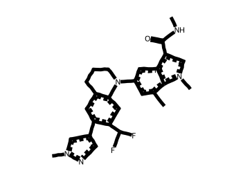 CNC(=O)c1cn(C)c2c(C)cc(N3CCCc4cc(-c5cnn(C)c5)c(C(F)F)cc43)cc12